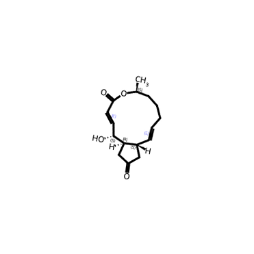 C[C@H]1CCC/C=C/[C@@H]2CC(=O)C[C@H]2[C@H](O)/C=C/C(=O)O1